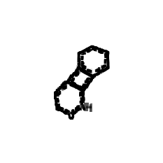 c1ccc2c3[nH]occc=3c2c1